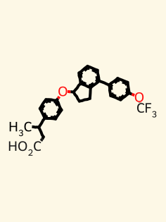 CC(CC(=O)O)c1ccc(OC2CCc3c(-c4ccc(OC(F)(F)F)cc4)cccc32)cc1